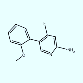 COc1ccccc1-c1cnc(N)cc1F